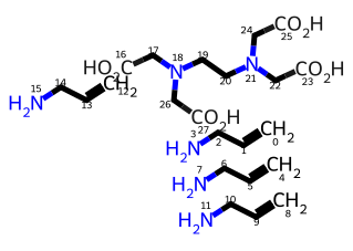 C=CCN.C=CCN.C=CCN.C=CCN.O=C(O)CN(CCN(CC(=O)O)CC(=O)O)CC(=O)O